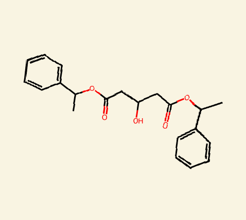 CC(OC(=O)CC(O)CC(=O)OC(C)c1ccccc1)c1ccccc1